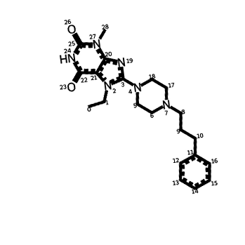 CCn1c(N2CCN(CCCc3ccccc3)CC2)nc2c1c(=O)[nH]c(=O)n2C